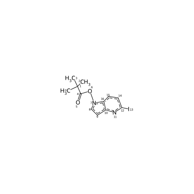 CC(C)(C)C(=O)On1ccc2nc(I)ccc21